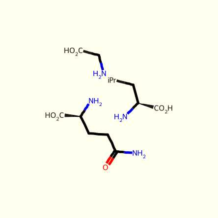 CC(C)C[C@H](N)C(=O)O.NC(=O)CC[C@H](N)C(=O)O.NCC(=O)O